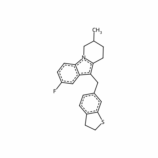 CC1CCc2c(Cc3ccc4c(c3)SCC4)c3cc(F)ccc3n2C1